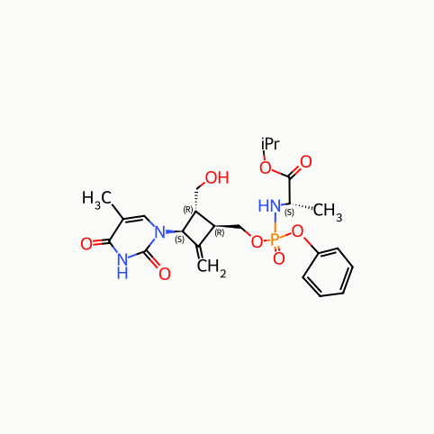 C=C1[C@@H](n2cc(C)c(=O)[nH]c2=O)[C@H](CO)[C@H]1COP(=O)(N[C@@H](C)C(=O)OC(C)C)Oc1ccccc1